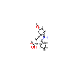 COc1ccc2c(c1)C(CCC(=O)O)C(c1ccccc1)N2